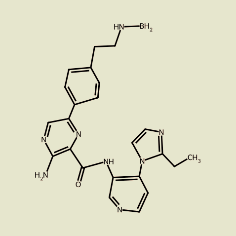 BNCCc1ccc(-c2cnc(N)c(C(=O)Nc3cnccc3-n3ccnc3CC)n2)cc1